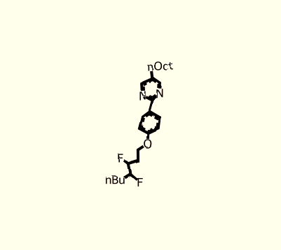 CCCCCCCCc1cnc(-c2ccc(OCCC(F)C(F)CCCC)cc2)nc1